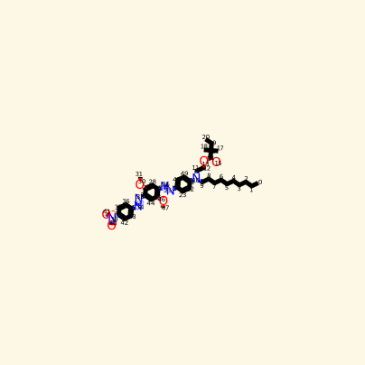 CCCCCCCCCCN(CCOC(=O)C(C)(C)CC)c1ccc(/N=N/c2cc(OC)c(/N=N/c3ccc([N+](=O)[O-])cc3)cc2OC)cc1